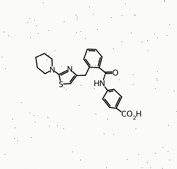 O=C(O)c1ccc(NC(=O)c2ccccc2Cc2csc(N3CCCCC3)n2)cc1